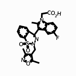 Cc1noc(C)c1CN1N=C(c2c(C)n(CC(=O)O)c3ccc(F)cc23)c2ccccc2S1(=O)=O